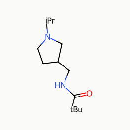 CC(C)N1CCC(CNC(=O)C(C)(C)C)C1